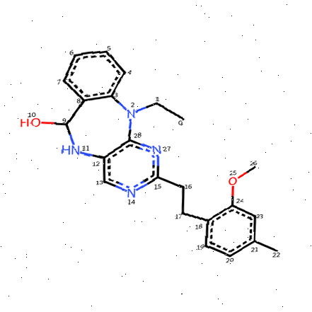 CCN1c2ccccc2C(O)Nc2cnc(CCc3ccc(C)cc3OC)nc21